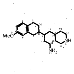 COc1ccc2c(c1)CC(C(CCN)CC1CCNCC1)CC2